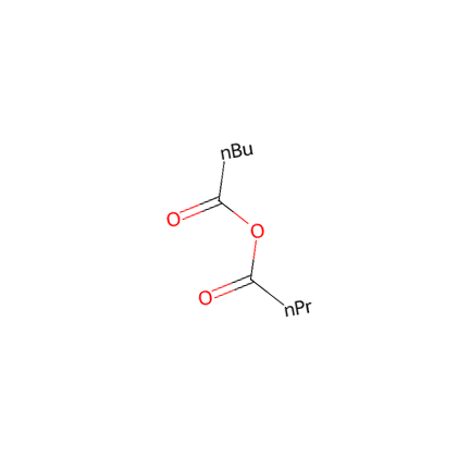 CCCCC(=O)OC(=O)CCC